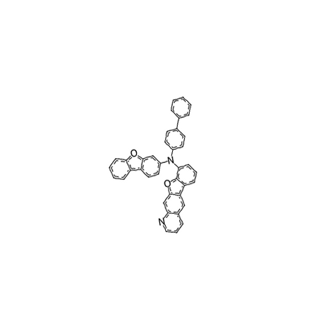 c1ccc(-c2ccc(N(c3ccc4c(c3)oc3ccccc34)c3cccc4c3oc3cc5ncccc5cc34)cc2)cc1